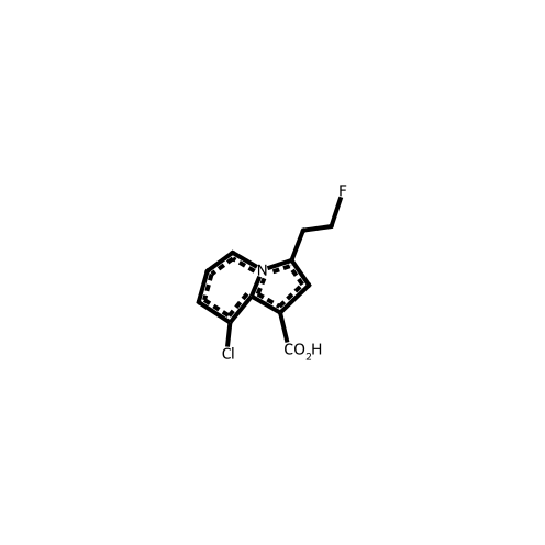 O=C(O)c1cc(CCF)n2cccc(Cl)c12